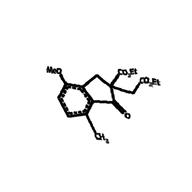 CCOC(=O)CC1(C(=O)OCC)Cc2c(OC)ccc(C)c2C1=O